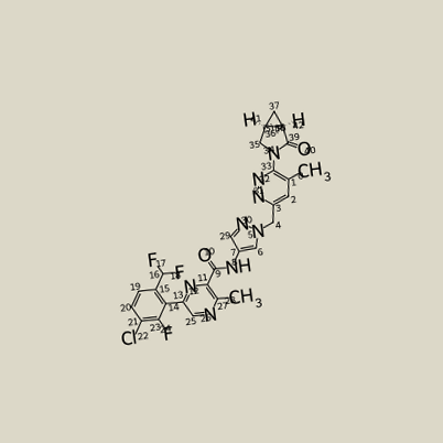 Cc1cc(Cn2cc(NC(=O)c3nc(-c4c(C(F)F)ccc(Cl)c4F)cnc3C)cn2)nnc1N1C[C@H]2C[C@H]2C1=O